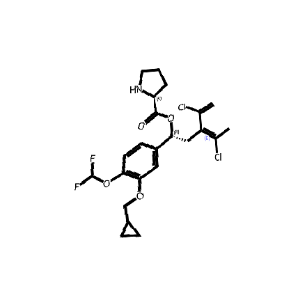 C=C(Cl)/C(C[C@@H](OC(=O)[C@@H]1CCCN1)c1ccc(OC(F)F)c(OCC2CC2)c1)=C(\C)Cl